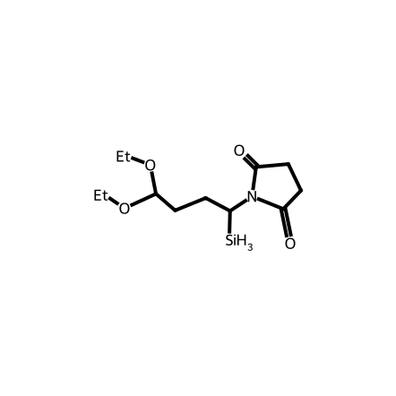 CCOC(CCC([SiH3])N1C(=O)CCC1=O)OCC